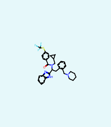 O=C(c1ccc(SC(F)(F)F)cc1)N(CC1CC1)C(Cc1ccccc1CN1CCCCC1)c1nc2ccccc2[nH]1